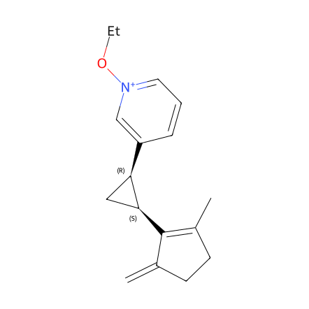 C=C1CCC(C)=C1[C@H]1C[C@H]1c1ccc[n+](OCC)c1